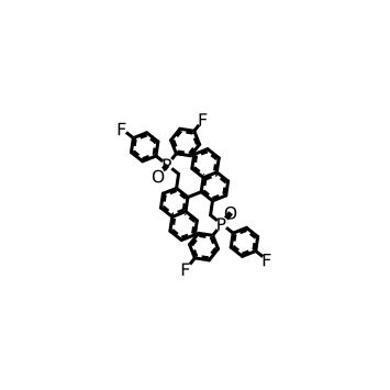 O=P(Cc1ccc2ccccc2c1-c1c(CP(=O)(c2ccc(F)cc2)c2ccc(F)cc2)ccc2ccccc12)(c1ccc(F)cc1)c1ccc(F)cc1